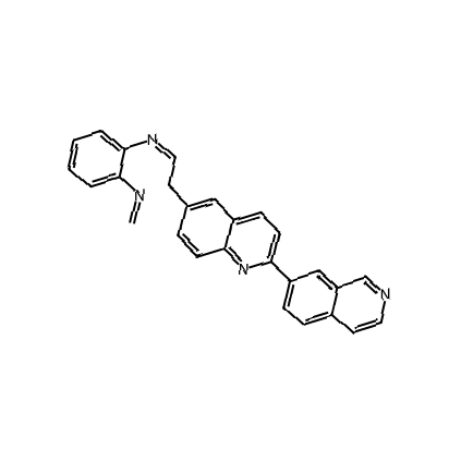 C=Nc1ccccc1/N=C\Cc1ccc2nc(-c3ccc4ccncc4c3)ccc2c1